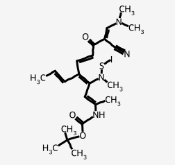 C/C=C/C(/C=C/C(=O)/C(C#N)=C/N(C)C)=C(\C=C(/C)NC(=O)OC(C)(C)C)N(C)SI